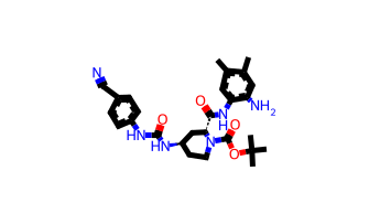 Cc1cc(N)c(NC(=O)[C@H]2C[C@H](NC(=O)Nc3ccc(C#N)cc3)CCN2C(=O)OC(C)(C)C)cc1C